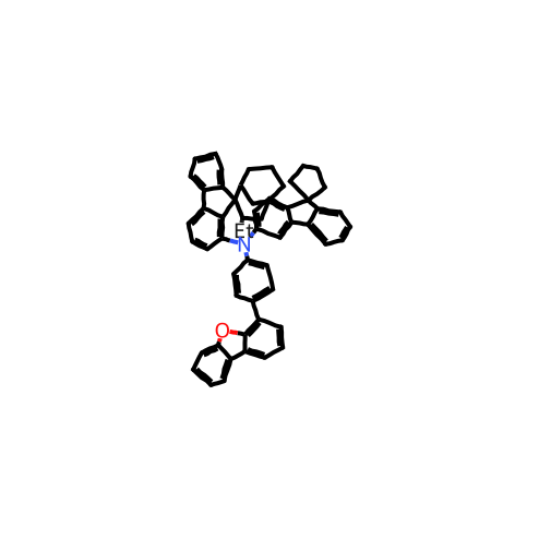 CCC1CC2CCCC(C2)C12c1ccccc1-c1cccc(N(c3ccc(-c4cccc5c4oc4ccccc45)cc3)c3ccc4c(c3)-c3ccccc3C43CCCC3)c12